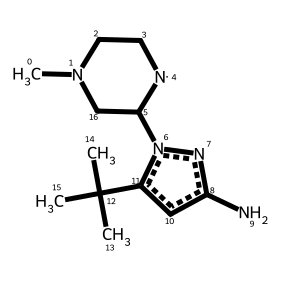 CN1CC[N]C(n2nc(N)cc2C(C)(C)C)C1